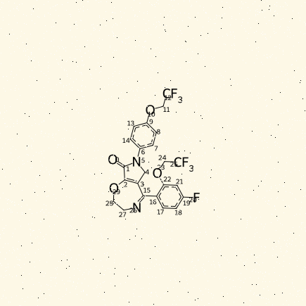 O=C1C2=C(CN1c1ccc(OCC(F)(F)F)cc1)C(c1ccc(F)cc1OCC(F)(F)F)=NCCO2